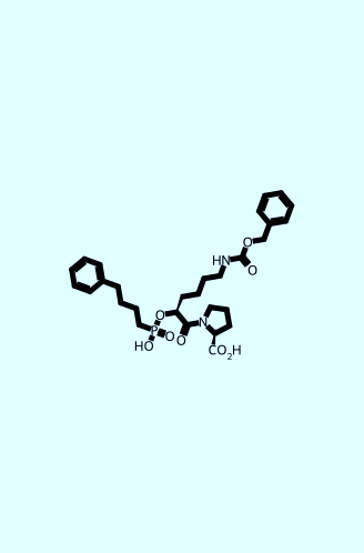 O=C(NCCCC[C@H](OP(=O)(O)CCCCc1ccccc1)C(=O)N1CCC[C@H]1C(=O)O)OCc1ccccc1